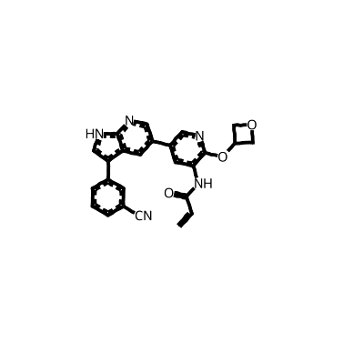 C=CC(=O)Nc1cc(-c2cnc3[nH]cc(-c4cccc(C#N)c4)c3c2)cnc1OC1COC1